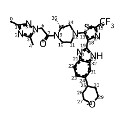 Cc1nc(C)n(CC(=O)N2CCN(c3sc(C(F)(F)F)nc3-c3nc4ccc(C5CCOCC5)cc4[nH]3)C[C@H]2C)n1